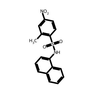 Cc1cc([N+](=O)[O-])ccc1S(=O)(=O)Nc1cccc2ccccc12